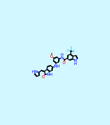 COc1cc(NC(=O)c2cc(C(F)(F)F)c3cc[nH]c3c2)cc(Nc2ccc3c(c2)NC(=O)/C3=C\c2ccc[nH]2)c1